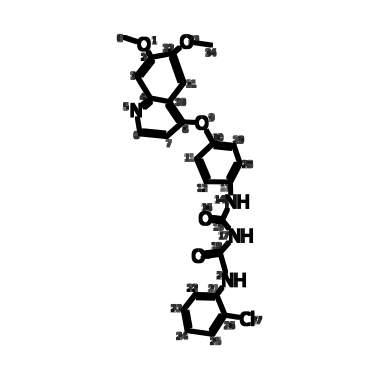 COc1cc2nccc(Oc3ccc(NC(=O)NC(=O)Nc4ccccc4Cl)cc3)c2cc1OC